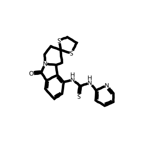 O=C1c2cccc(NC(=S)Nc3ccccn3)c2C2CC3(CCN12)SCCS3